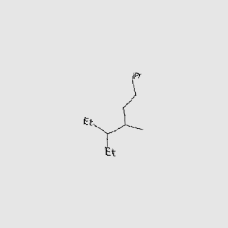 CCC(CC)C(C)CCC(C)C